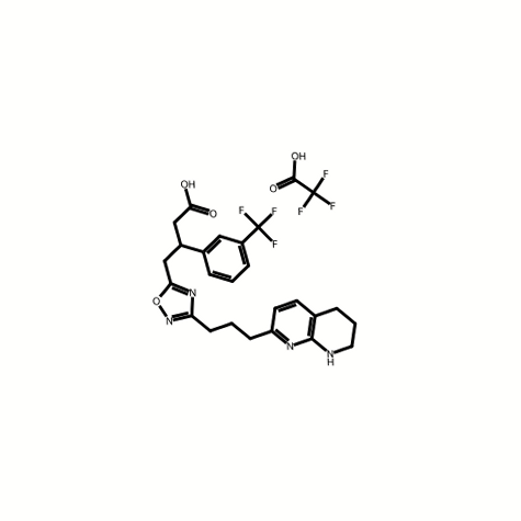 O=C(O)C(F)(F)F.O=C(O)CC(Cc1nc(CCCc2ccc3c(n2)NCCC3)no1)c1cccc(C(F)(F)F)c1